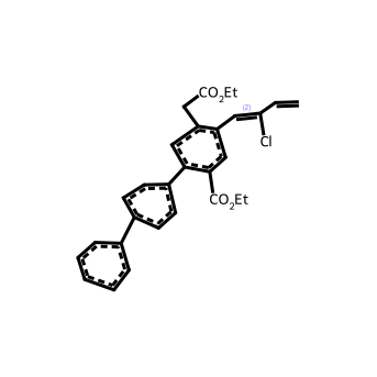 C=C/C(Cl)=C/c1cc(C(=O)OCC)c(-c2ccc(-c3ccccc3)cc2)cc1CC(=O)OCC